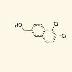 OCc1ccc2c(Cl)c(Cl)ccc2c1